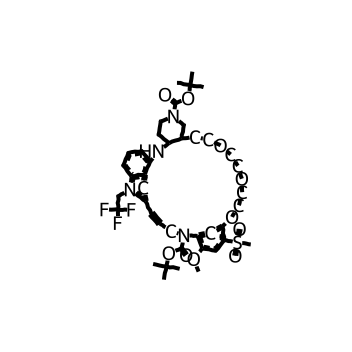 COc1cc(S(C)(=O)=O)c2cc1N(C(=O)OC(C)(C)C)CC#Cc1cc3c(cccc3n1CC(F)(F)F)NC1CCN(C(=O)OC(C)(C)C)CC1CCOCCOCCO2